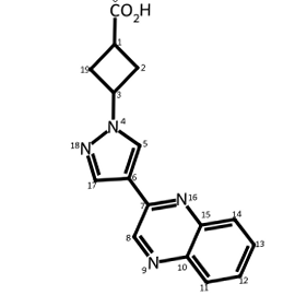 O=C(O)C1CC(n2cc(-c3cnc4ccccc4n3)cn2)C1